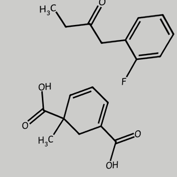 CC1(C(=O)O)C=CC=C(C(=O)O)C1.CCC(=O)Cc1ccccc1F